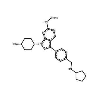 CCCC(C)Nc1ncc2c(-c3ccc(CNC4CCCC4)cc3)cn([C@H]3CC[C@H](O)CC3)c2n1